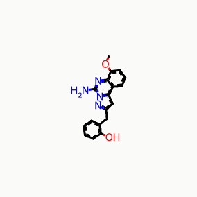 COc1cccc2c1nc(N)n1nc(Cc3ccccc3O)cc21